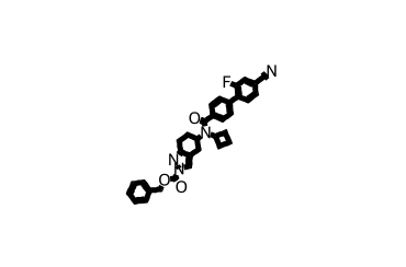 N#Cc1ccc(-c2ccc(C(=O)N(C3CCC3)C3CCc4nn(C(=O)OCc5ccccc5)cc4C3)cc2)c(F)c1